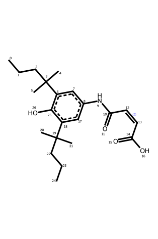 CCCC(C)(C)c1cc(NC(=O)/C=C\C(=O)O)cc(C(C)(C)CCC)c1O